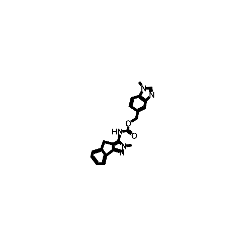 Cn1nc2c(c1NC(=O)OCc1ccc3c(c1)ncn3C)Cc1ccccc1-2